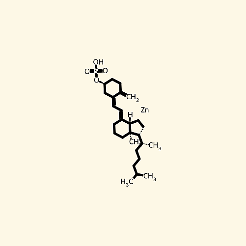 C=C1CC[C@H](OS(=O)(=O)O)C/C1=C/C=C1\CCC[C@]2(C)[C@@H]([C@H](C)CCCC(C)C)CC[C@@H]12.[Zn]